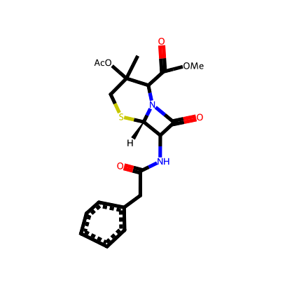 COC(=O)C1N2C(=O)C(NC(=O)Cc3ccccc3)[C@@H]2SCC1(C)OC(C)=O